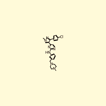 CN1CCN(Cc2cccc(Nc3nccc(-c4cn(C)nc4-c4ccc(Cl)cc4)n3)c2)CC1